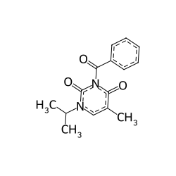 Cc1cn(C(C)C)c(=O)n(C(=O)c2ccccc2)c1=O